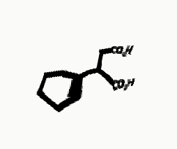 O=C(O)CC(C(=O)O)C1=CCCCC1